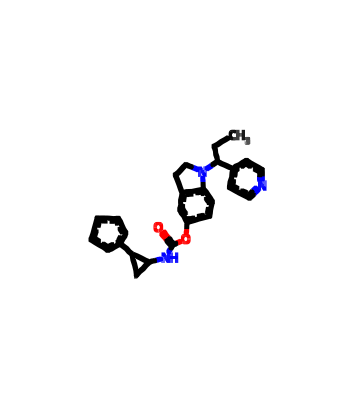 CCC(c1ccncc1)N1CCc2cc(OC(=O)NC3CC3c3ccccc3)ccc21